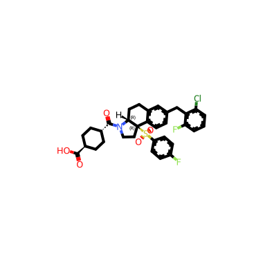 O=C(O)[C@H]1CC[C@H](C(=O)N2CC[C@@]3(S(=O)(=O)c4ccc(F)cc4)c4ccc(Cc5c(F)cccc5Cl)cc4CC[C@@H]23)CC1